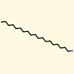 CCCCCCCCC[CH]CCCCCCCCCI